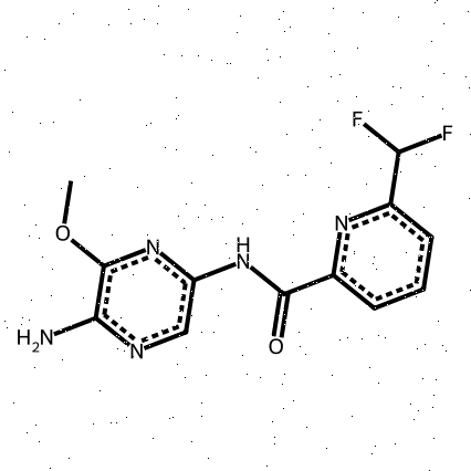 COc1nc(NC(=O)c2cccc(C(F)F)n2)cnc1N